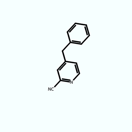 N#Cc1cc(Cc2ccccc2)ccn1